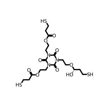 O=C(CCS)OCCn1c(=O)n(CCOC(=O)CCS)c(=O)n(CCO[C@@H](O)CCS)c1=O